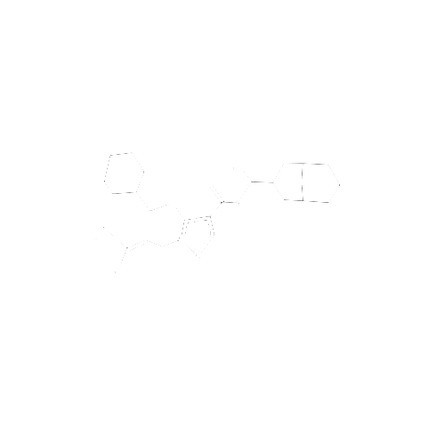 C/C(C=O)=C\Cn1ncc(C(=O)NC(C)C2CC3CCCC(C3)C2)c1OCC1CCCCC1